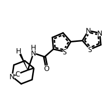 O=C(N[C@H]1CN2CCC1CC2)c1ccc(-c2nncs2)s1